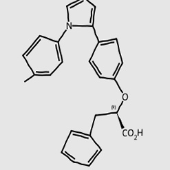 Cc1ccc(-n2cccc2-c2ccc(O[C@H](Cc3ccccc3)C(=O)O)cc2)cc1